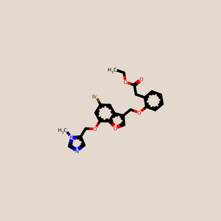 CCOC(=O)Cc1ccccc1OCc1coc2c(OCc3cncn3C)cc(Br)cc12